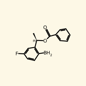 Bc1ccc(F)cc1[C@@H](C)OC(=O)c1ccccc1